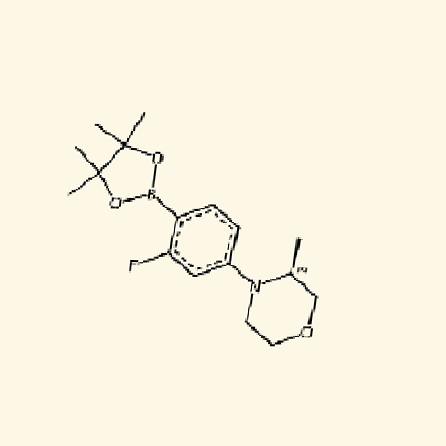 C[C@H]1COCCN1c1ccc(B2OC(C)(C)C(C)(C)O2)c(F)c1